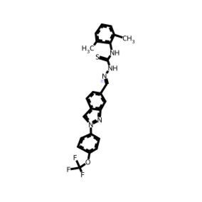 Cc1cccc(C)c1NC(=S)N/N=C/c1ccc2cn(-c3ccc(OC(F)(F)F)cc3)nc2c1